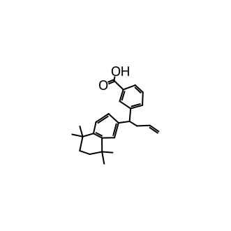 C=CCC(c1cccc(C(=O)O)c1)c1ccc2c(c1)C(C)(C)CCC2(C)C